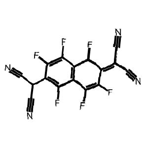 N#CC(C#N)=C1C(F)=C(F)c2c(F)c(C(C#N)C#N)c(F)c(F)c2C1F